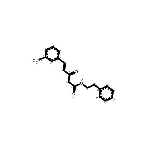 O=C(C=Cc1cccc([N+](=O)[O-])c1)CC(=O)OCCc1ccccc1